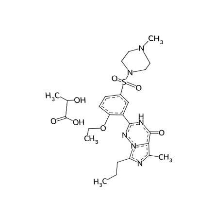 CC(O)C(=O)O.CCCc1nc(C)c2c(=O)[nH]c(-c3cc(S(=O)(=O)N4CCN(C)CC4)ccc3OCC)nn12